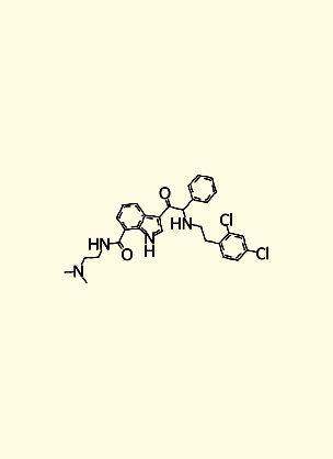 CN(C)CCNC(=O)c1cccc2c(C(=O)C(NCCc3ccc(Cl)cc3Cl)c3ccccc3)c[nH]c12